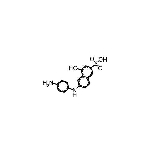 Nc1ccc(Nc2ccc3cc(S(=O)(=O)O)cc(O)c3c2)cc1